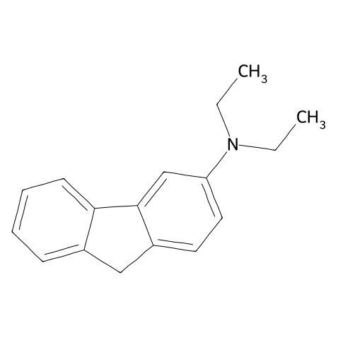 CCN(CC)c1ccc2c(c1)-c1ccccc1C2